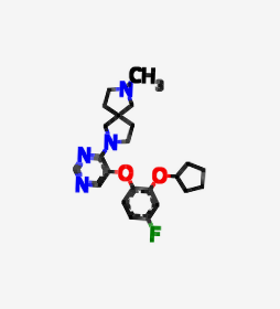 CN1CCC2(CCN(c3ncncc3Oc3ccc(F)cc3OC3CCCC3)C2)C1